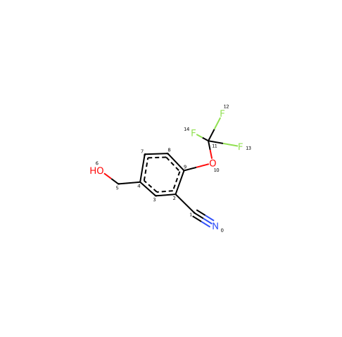 N#Cc1cc(CO)ccc1OC(F)(F)F